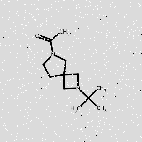 CC(=O)N1CCC2(C1)CN(C(C)(C)C)C2